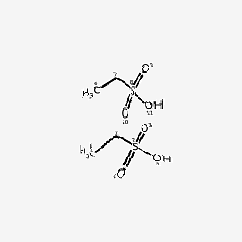 CCS(=O)(=O)O.CCS(=O)(=O)O